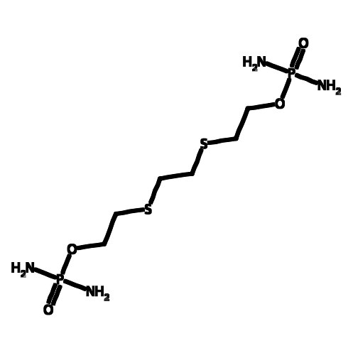 NP(N)(=O)OCCSCCSCCOP(N)(N)=O